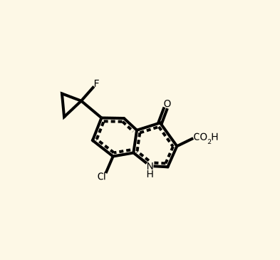 O=C(O)c1c[nH]c2c(Cl)cc(C3(F)CC3)cc2c1=O